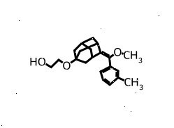 COC(=C1C2CC3CC1CC(OCCO)(C3)C2)c1cccc(C)c1